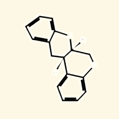 c1ccc2c(c1)C[C@H]1c3ccccc3OC[C@H]1O2